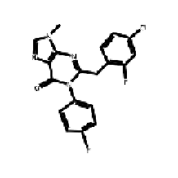 Cn1cnc2c(=O)n(-c3ccc(F)cc3)c(Cc3ccc(Cl)cc3F)nc21